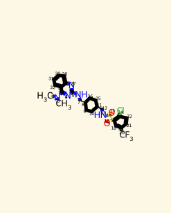 CN(C)c1nc(NC[C@H]2CC[C@H](CNS(=O)(=O)c3cc(C(F)(F)F)ccc3Cl)CC2)nc2ccccc12